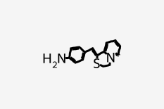 Nc1ccc(/C=C2\SCC[n+]3ccccc32)cc1